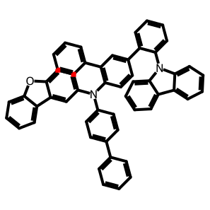 c1ccc(-c2ccc(N(c3ccc4oc5ccccc5c4c3)c3ccc(-c4ccccc4-n4c5ccccc5c5ccccc54)cc3-c3ccccc3)cc2)cc1